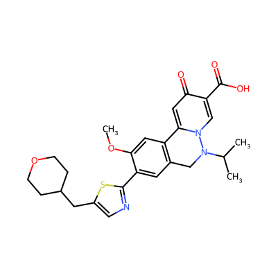 COc1cc2c(cc1-c1ncc(CC3CCOCC3)s1)CN(C(C)C)n1cc(C(=O)O)c(=O)cc1-2